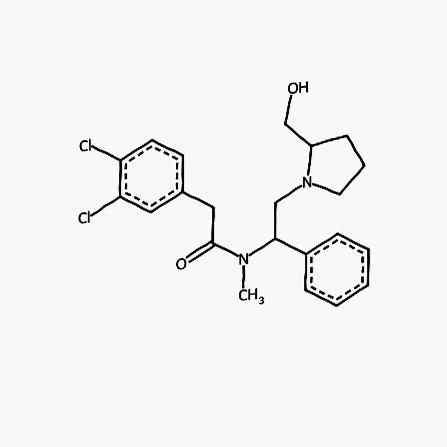 CN(C(=O)Cc1ccc(Cl)c(Cl)c1)C(CN1CCCC1CO)c1ccccc1